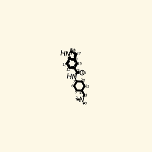 CN(C)CC1CCC(NC(=O)c2ccc3[nH]ncc3c2)CC1